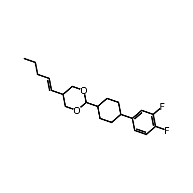 CCCC=CC1COC(C2CCC(c3ccc(F)c(F)c3)CC2)OC1